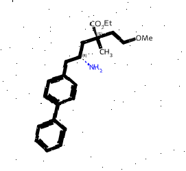 CCOC(=O)[C@](C)(CCOC)C[C@H](N)Cc1ccc(-c2ccccc2)cc1